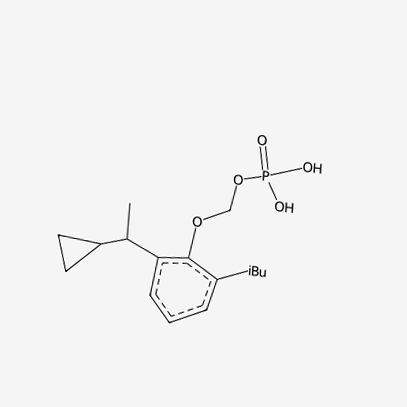 CCC(C)c1cccc(C(C)C2CC2)c1OCOP(=O)(O)O